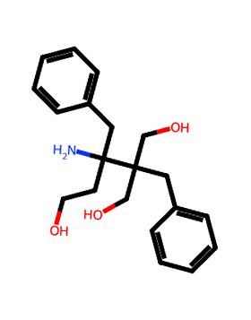 NC(CCO)(Cc1ccccc1)C(CO)(CO)Cc1ccccc1